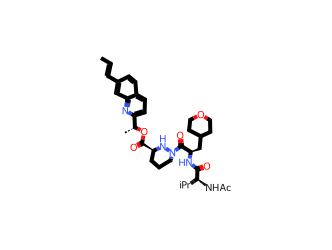 C/C=C/c1ccc2ccc([C@@H](C)OC(=O)[C@@H]3CCCN(C(=O)[C@@H](CC4CCOCC4)NC(=O)[C@@H](NC(C)=O)C(C)C)N3)nc2c1